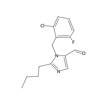 CCCCc1ncc(C=O)n1Cc1c(F)cccc1Cl